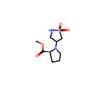 COC(=O)[C@@H]1CCCN1C1CNS(=O)(=O)C1